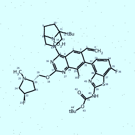 C=Cc1cc2c(N3CC4CCC(C(C)(C)C)(C3)N4C(=O)O)nc(OC[C@@H]3C[C@@H](F)CN3C)nc2c(F)c1-c1ccc(F)c2sc(NC(=O)OC(C)(C)C)nc12